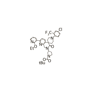 CCOc1ncccc1-c1ccc2c(n1)CN([C@H]1CCN(C(=O)OC(C)(C)C)C1)C(=O)C21CCN(c2ccc(Cl)cc2C(F)(F)F)CC1